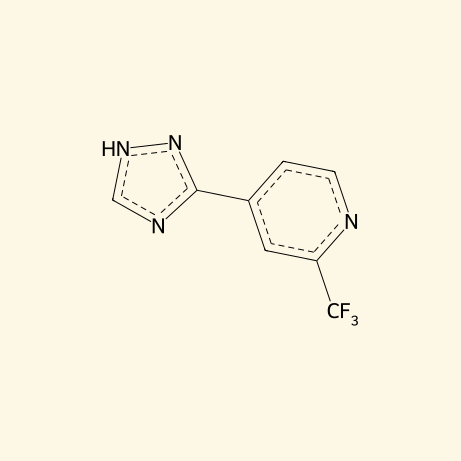 FC(F)(F)c1cc(-c2nc[nH]n2)ccn1